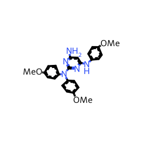 COc1ccc(Nc2cc(N)nc(N(c3ccc(OC)cc3)c3ccc(OC)cc3)n2)cc1